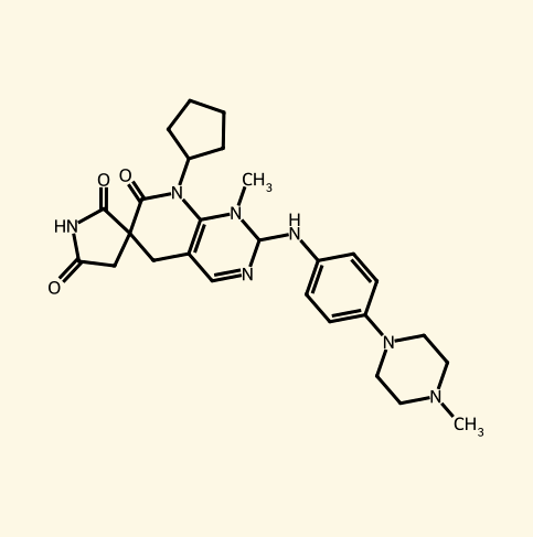 CN1CCN(c2ccc(NC3N=CC4=C(N3C)N(C3CCCC3)C(=O)C3(CC(=O)NC3=O)C4)cc2)CC1